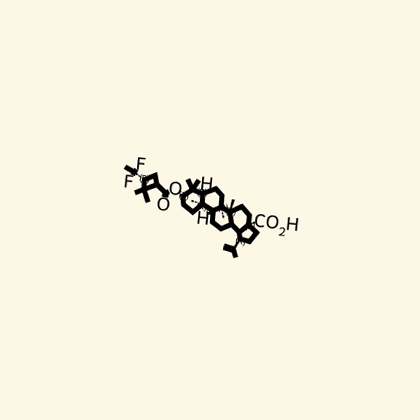 C=C(C)[C@@H]1CC[C@]2(C(=O)O)CC[C@]3(C)C(CC[C@@H]4[C@@]5(C)CC[C@H](OC(=O)C6C[C@@H](C(C)(F)F)C6(C)C)C(C)(C)[C@@H]5CC[C@]43C)C12